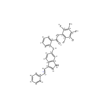 O=C(Oc1c(F)c(F)c(F)c(F)c1F)c1ccccc1Sc1ccc2c(/C=C/c3ccccn3)n[nH]c2c1